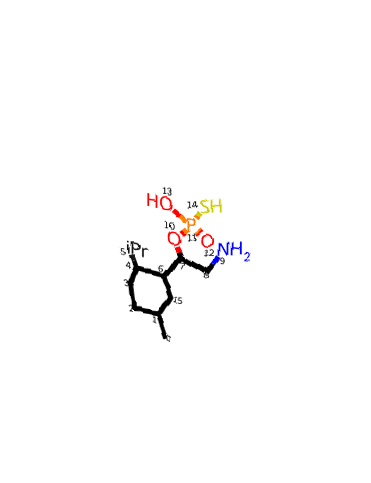 CC1CCC(C(C)C)C(C(CN)OP(=O)(O)S)C1